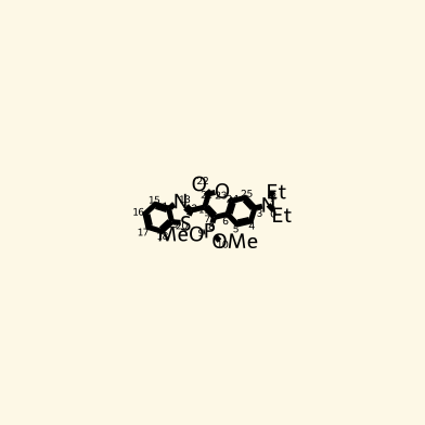 CCN(CC)c1ccc2c(P(OC)OC)c(-c3nc4ccccc4s3)c(=O)oc2c1